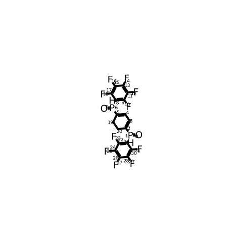 O=[PH](C1=CC=C([PH](=O)c2c(F)c(F)c(F)c(F)c2F)CC1)c1c(F)c(F)c(F)c(F)c1F